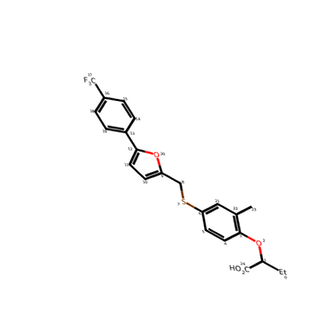 CCC(Oc1ccc(SCc2ccc(-c3ccc(C(F)(F)F)cc3)o2)cc1C)C(=O)O